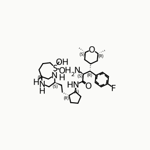 C[C@@H]1CC([C@H](c2ccc(F)cc2)[C@H](N)C(=O)N[C@H]2CCC[C@@H]2CC[C@H]2CN[C@@H]3CCCS(O)(O)N2C3)C[C@H](C)O1